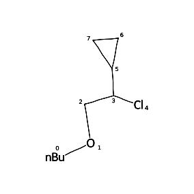 CCCCOCC(Cl)C1CC1